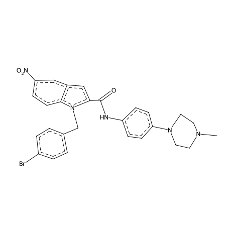 CN1CCN(c2ccc(NC(=O)c3cc4cc([N+](=O)[O-])ccc4n3Cc3ccc(Br)cc3)cc2)CC1